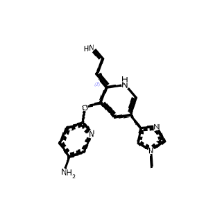 Cn1cnc(C2=CN/C(=C\C=N)C(Oc3ccc(N)cn3)=C2)c1